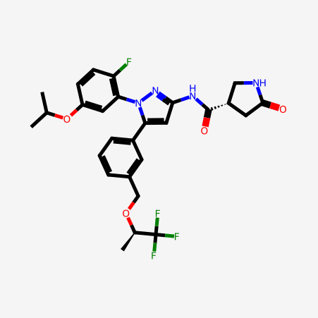 CC(C)Oc1ccc(F)c(-n2nc(NC(=O)[C@@H]3CNC(=O)C3)cc2-c2cccc(CO[C@H](C)C(F)(F)F)c2)c1